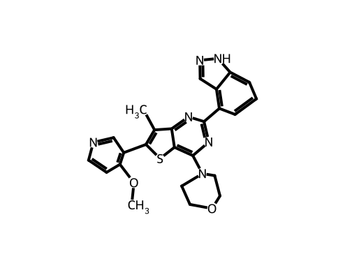 COc1ccncc1-c1sc2c(N3CCOCC3)nc(-c3cccc4[nH]ncc34)nc2c1C